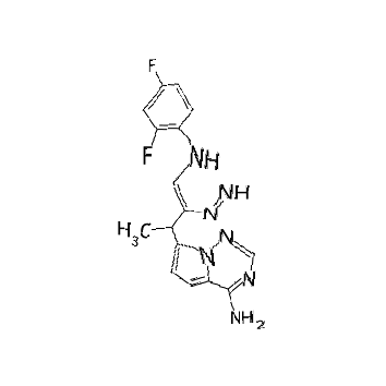 CC(/C(=C/Nc1ccc(F)cc1F)N=N)c1ccc2c(N)ncnn12